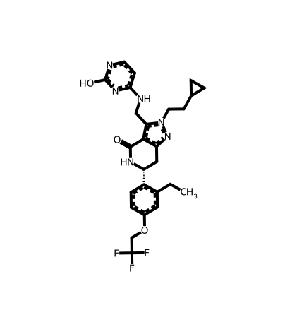 CCc1cc(OCC(F)(F)F)ccc1[C@H]1Cc2nn(CCC3CC3)c(CNc3ccnc(O)n3)c2C(=O)N1